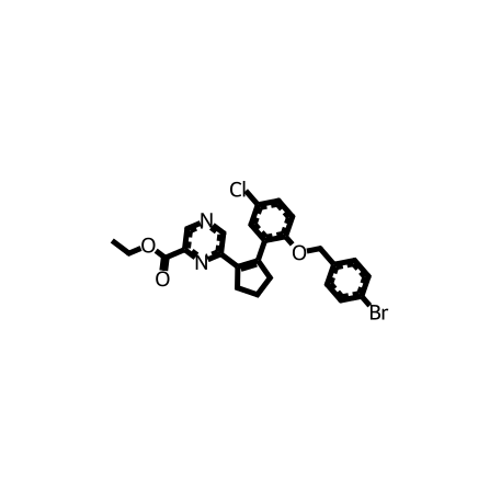 CCOC(=O)c1cncc(C2=C(c3cc(Cl)ccc3OCc3ccc(Br)cc3)CCC2)n1